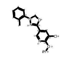 Cc1ccc[c]c1N1COC(c2cnc(OC(C)C)c(Cl)c2)=N1